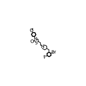 COc1ccc(N2CC(CCN3CCC(Cc4cc(F)ccc4Br)CC3)SC2=O)cc1